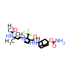 CC(=O)NC(C)(C)/C=C/n1ccc(C(=O)N[C@H]2C3CC4CC2C[C@](OC(N)=O)(C4)C3)c1C(F)(F)F